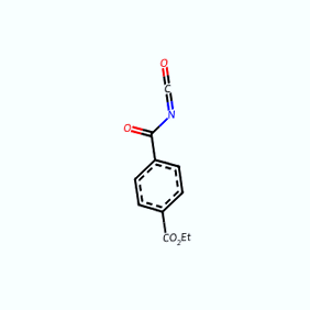 CCOC(=O)c1ccc(C(=O)N=C=O)cc1